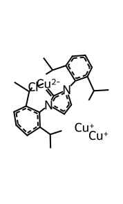 CC(C)c1cccc(C(C)C)c1-n1ccn(-c2c(C(C)C)cccc2C(C)C)[c]1=[Cu-2][Cl].[Cu+].[Cu+]